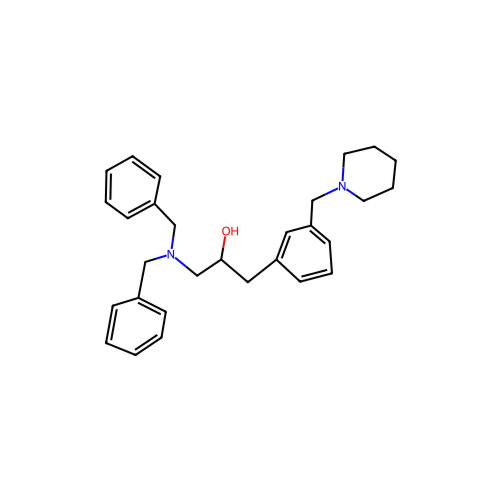 OC(Cc1cccc(CN2CCCCC2)c1)CN(Cc1ccccc1)Cc1ccccc1